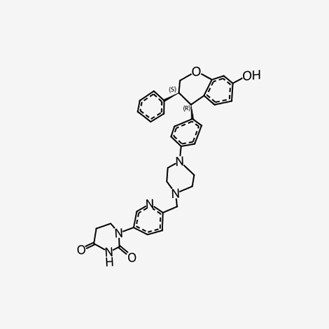 O=C1CCN(c2ccc(CN3CCN(c4ccc([C@@H]5c6ccc(O)cc6OC[C@@H]5c5ccccc5)cc4)CC3)nc2)C(=O)N1